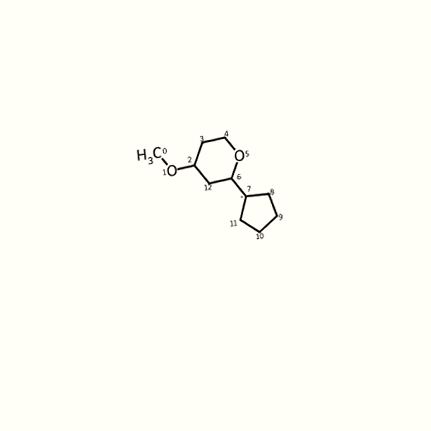 COC1CCOC([C]2CCCC2)C1